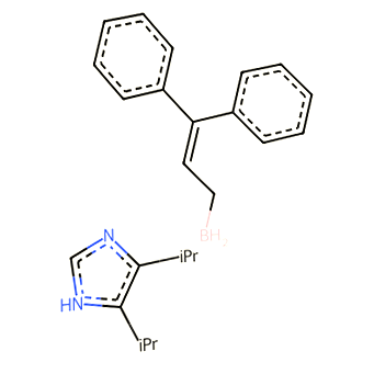 BCC=C(c1ccccc1)c1ccccc1.CC(C)c1nc[nH]c1C(C)C